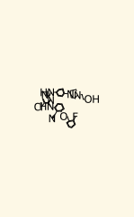 N#Cc1c(Nc2nc(Nc3ccc(N4CCN(CCO)CC4)cc3)ncc2Cl)cccc1OCc1ccccc1F